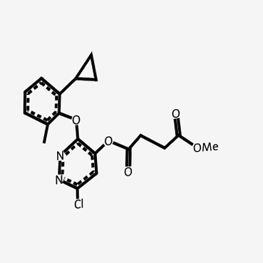 COC(=O)CCC(=O)Oc1cc(Cl)nnc1Oc1c(C)cccc1C1CC1